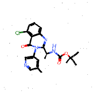 Cc1cncc(-n2c([C@H](C)NC(=O)OC(C)(C)C)nc3cccc(Cl)c3c2=O)c1